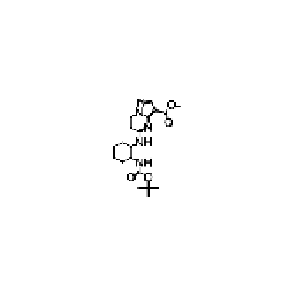 COC(=O)c1cnn2ccc(N[C@@H]3CCCC[C@@H]3NC(=O)OC(C)(C)C)nc12